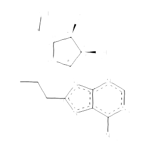 CCCc1nc2c(N)ncnc2n1[C@@H]1O[C@H](CO)[C@@H](O)[C@H]1O